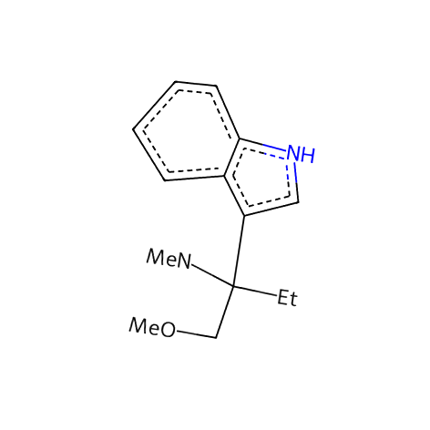 CCC(COC)(NC)c1c[nH]c2ccccc12